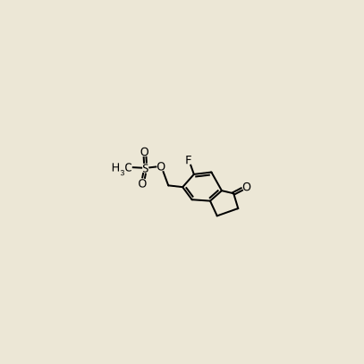 CS(=O)(=O)OCc1cc2c(cc1F)C(=O)CC2